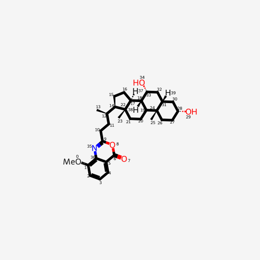 COc1cccc2c(=O)oc(CC[C@@H](C)[C@H]3CC[C@H]4[C@H]5C(CC[C@]34C)[C@@]3(C)CC[C@@H](O)C[C@H]3C[C@H]5O)nc12